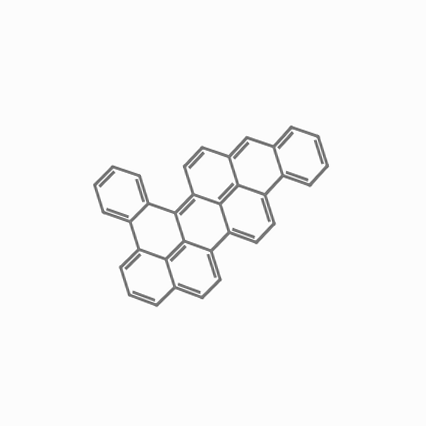 c1ccc2c(c1)cc1ccc3c4c(ccc2c14)c1ccc2cccc4c5ccccc5c3c1c24